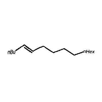 [CH2]CCCC=CCCCCCCCCCC